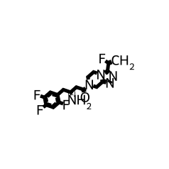 C=C(F)c1nnc2n1CCN(C(=O)C[C@H](N)Cc1cc(F)c(F)cc1F)C2